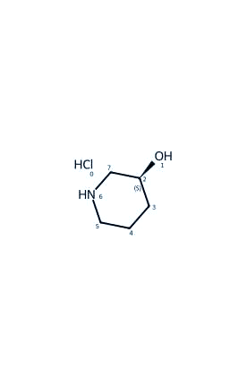 Cl.O[C@H]1CCCNC1